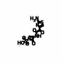 Nc1nc(C(=O)C(=O)N[C@H]2CN(S(=O)(=O)O)C2=O)cs1